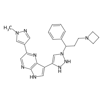 Cn1cc(-c2cnc3[nH]cc(C4=CN(C(CCN5CCC5)c5ccccc5)NN4)c3n2)cn1